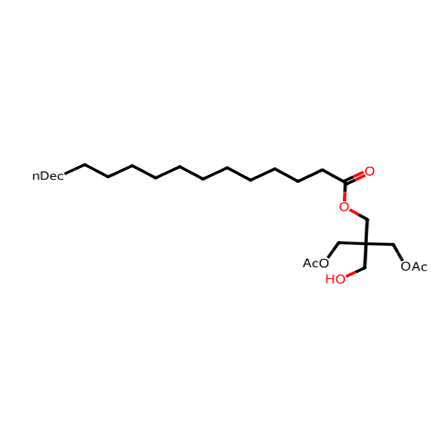 CCCCCCCCCCCCCCCCCCCCCC(=O)OCC(CO)(COC(C)=O)COC(C)=O